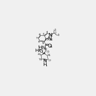 CC(C)n1cc2cccc(C(=O)NCC3(O)CCNCC3)c2n1